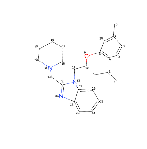 Cc1ccc(C(C)C)c(OCCn2c(CN3CCCCC3)nc3ccccc32)c1